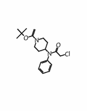 C=C(OC(C)(C)C)N1CCC(N(C(=O)CCl)c2ccccc2)CC1